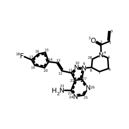 C=CC(=O)N1CCCC(n2nc(C=Cc3ccc(F)cc3)c3c(N)ncnc32)C1